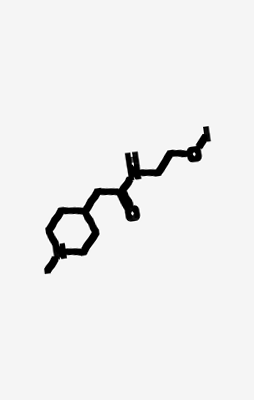 CN1CCC(CC(=O)NCCOI)CC1